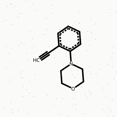 C#Cc1ccccc1N1CCOCC1